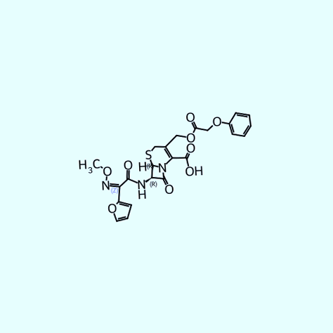 CO/N=C(\C(=O)N[C@@H]1C(=O)N2C(C(=O)O)=C(COC(=O)COc3ccccc3)CS[C@H]12)c1ccco1